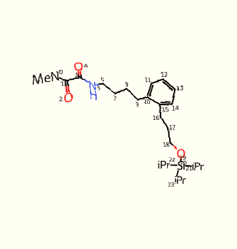 CNC(=O)C(=O)NCCCCc1ccccc1CCCO[Si](C(C)C)(C(C)C)C(C)C